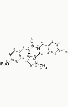 CC(C)COc1ccc(CNC(=O)N(Cc2ccc(F)cc2)C[C@@H]2CCCN2C)cc1